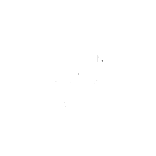 [c]1ccc(-c2cncs2)s1